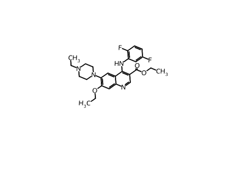 CCOC(=O)c1cnc2cc(OCC)c(N3CCN(CC)CC3)cc2c1Nc1cc(F)ccc1F